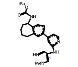 CN/C=C(\C=N)Nc1cc(-c2ccc3c(c2)CCCCC3NC(=O)OC(C)(C)C)ccn1